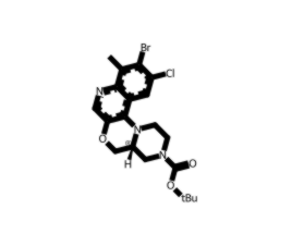 Cc1c(Br)c(Cl)cc2c3c(cnc12)OC[C@H]1CN(C(=O)OC(C)(C)C)CCN31